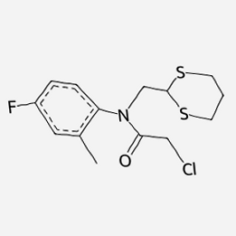 Cc1cc(F)ccc1N(CC1SCCCS1)C(=O)CCl